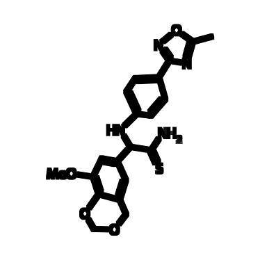 COc1cc(C(Nc2ccc(-c3noc(C)n3)cc2)C(N)=S)cc2c1OCOC2